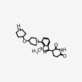 Cn1nc(C2CCC(=O)NC2=O)c2cccc(N3CCC(OC4CCNCC4)CC3)c21